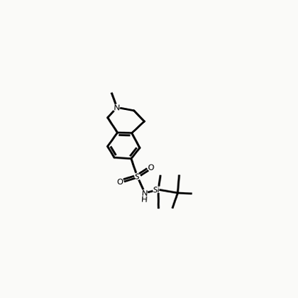 CN1CCc2cc(S(=O)(=O)N[Si](C)(C)C(C)(C)C)ccc2C1